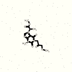 COCC(=O)Cn1c(=O)c2c(ncn2C(C)C(=O)OC)n(C)c1=O